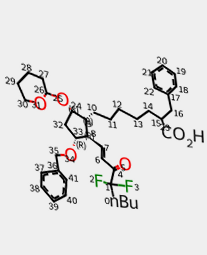 CCCCC(F)(F)C(=O)C=C[C@@H]1[C@@H](CCCCCC(Cc2ccccc2)C(=O)O)[C@@H](OC2CCCCO2)C[C@H]1OCc1ccccc1